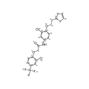 O=C(COc1ccc(C(F)(F)F)cc1Cl)Nc1ccc(OCCN2CC=CC2)c(Cl)c1